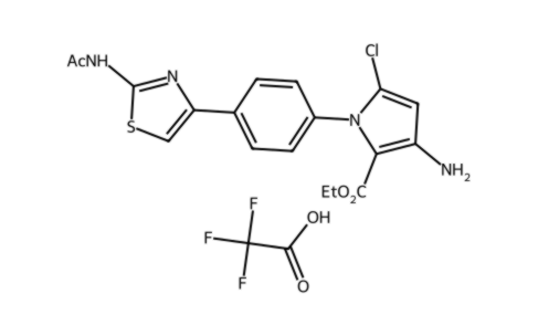 CCOC(=O)c1c(N)cc(Cl)n1-c1ccc(-c2csc(NC(C)=O)n2)cc1.O=C(O)C(F)(F)F